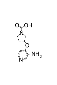 Nc1cnccc1OC1CCN(C(=O)O)C1